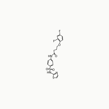 O=C(CCCOc1ccc(F)cc1F)Nc1ccc(S(=O)(=O)Nc2nccs2)cc1